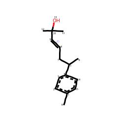 Cc1ccc(C(C)C/C=C/C(C)(C)O)cc1